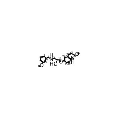 COc1cccc(CNC[C@H](O)COc2ccc3[nH]c(=O)ccc3c2)c1